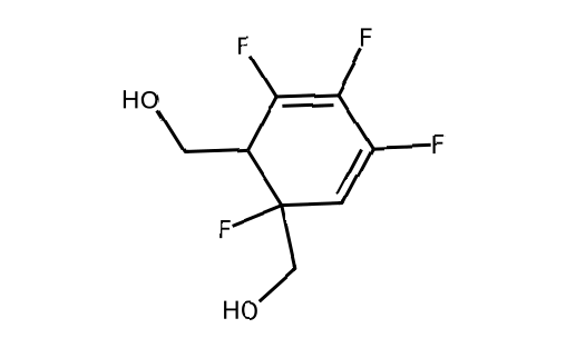 OCC1C(F)=C(F)C(F)=CC1(F)CO